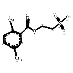 Cc1ccc(O)c(C(=O)OCCS(=O)(=O)O)c1